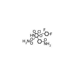 NC(=O)OCc1[nH]c(=O)c(Cl)c(OCc2ccc(F)cc2F)c1-c1cccc(C(N)=O)c1